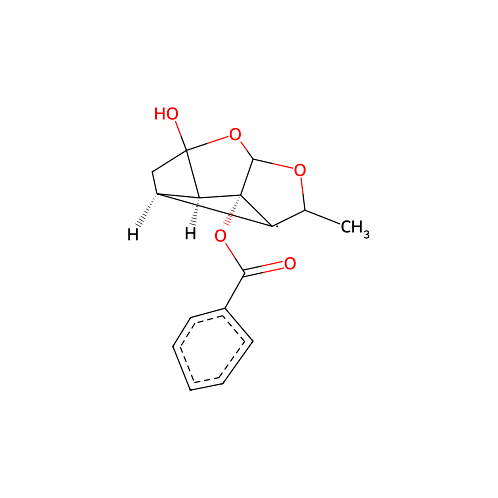 CC1OC2OC3(O)C[C@@H]4[C]1[C@@]2(OC(=O)c1ccccc1)[C@@H]43